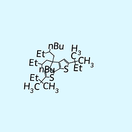 CCCCC(CC)CC1(CC(CC)CCCC)c2cc(C(C)(C)CC)sc2-c2sc(C(C)(C)CC)cc21